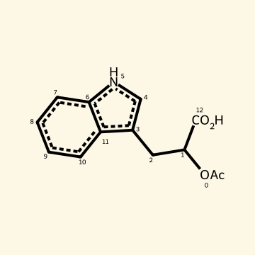 CC(=O)OC(Cc1c[nH]c2ccccc12)C(=O)O